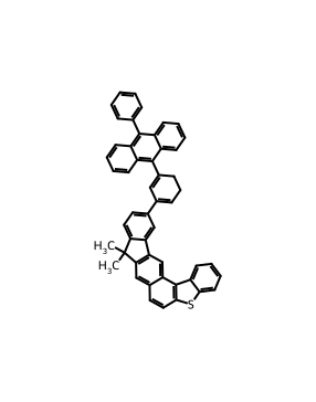 CC1(C)c2ccc(C3=CCCC(c4c5ccccc5c(-c5ccccc5)c5ccccc45)=C3)cc2-c2cc3c(ccc4sc5ccccc5c43)cc21